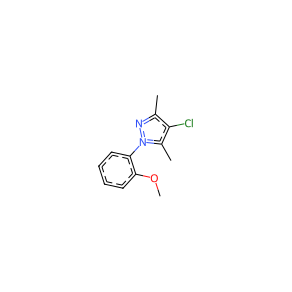 COc1ccccc1-n1nc(C)c(Cl)c1C